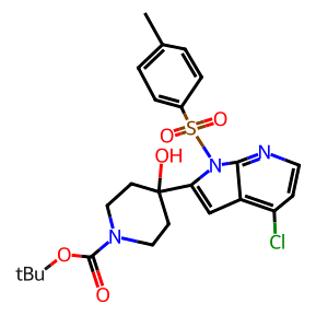 Cc1ccc(S(=O)(=O)n2c(C3(O)CCN(C(=O)OC(C)(C)C)CC3)cc3c(Cl)ccnc32)cc1